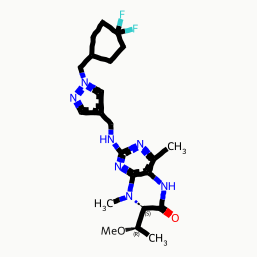 CO[C@H](C)[C@H]1C(=O)Nc2c(C)nc(NCc3cnn(CC4CCC(F)(F)CC4)c3)nc2N1C